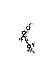 CCN1CCC(Nc2cccc3c(CC(F)(F)F)c(C#CCNc4ccc(S(C)(=O)=O)cc4OC(F)F)sc23)CC1